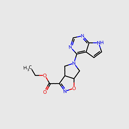 CCOC(=O)C1=NOC2CN(c3ncnc4[nH]ccc34)CC12